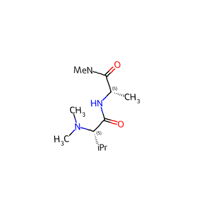 CNC(=O)[C@H](C)NC(=O)[C@H](C(C)C)N(C)C